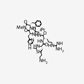 CNC(=O)[C@H](Cc1ccccc1)NC(=O)[C@H](Cc1c[nH]cn1)NC(=O)[C@@H](NC(=O)[C@H](CCCNC(=N)N)NC(=O)[C@H](CCCCN)NC(C)S)C(C)C